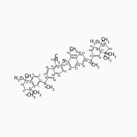 C=C(c1ccc2c(c1)C(C)(C)CCC2(C)C)c1ccc2c(CC)c(Sc3ccc4cc(C(=C)c5ccc6c(c5)C(C)(C)CCC6(C)C)ccc4c3CC)ccc2c1